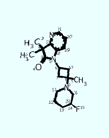 CC1(C)C(=O)N(C2CC(C)(N3CCC[C@H](F)C3)C2)c2cccnc21